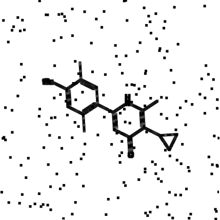 Cc1cc(C(C)(C)C)c(C)cc1-c1cc(=O)c(C2CC2)c(C)[nH]1